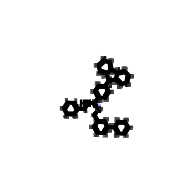 c1ccc(CN/C(=N\Cc2cccc(-c3ccccc3)c2)c2ccc(-n3c4ccccc4c4ccccc43)cc2)cc1